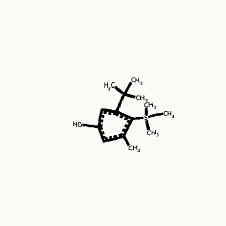 Cc1cc(O)cc(C(C)(C)C)c1S(C)(C)C